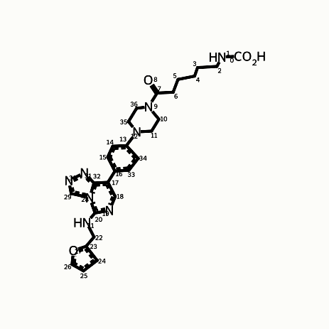 O=C(O)NCCCCCC(=O)N1CCN(c2ccc(-c3cnc(NCc4ccco4)n4cnnc34)cc2)CC1